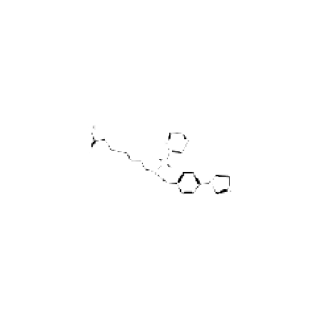 O=C(O)CCCCCCN(Cc1ccc(-n2ccnc2)cc1)S(=O)(=O)c1ccccn1